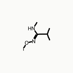 CN/C(=N\OI)C(C)C